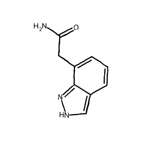 NC(=O)Cc1cccc2c[nH]nc12